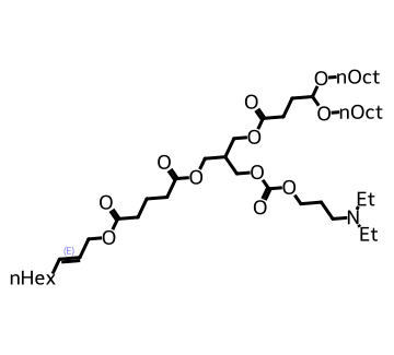 CCCCCC/C=C/COC(=O)CCCC(=O)OCC(COC(=O)CCC(OCCCCCCCC)OCCCCCCCC)COC(=O)OCCCN(CC)CC